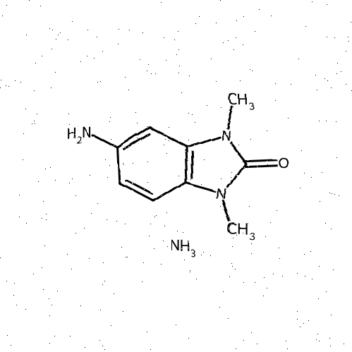 Cn1c(=O)n(C)c2cc(N)ccc21.N